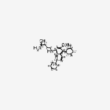 COc1cc(NCCCC(C)N)c2nc(C3CCCCC3)ccc2c1C1CCCCC1